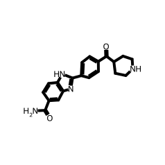 NC(=O)c1ccc2[nH]c(-c3ccc(C(=O)C4CCNCC4)cc3)nc2c1